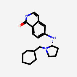 O=c1[nH]ccc2cc(N[C@@H]3CCCN3CC3CCCCC3)ccc12